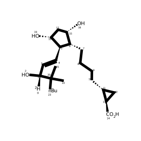 [2H][C@@](O)(C=C[C@@H]1[C@@H](CCCC[C@@H]2C[C@H]2C(=O)O)[C@@H](O)C[C@H]1O)C(C)(C)CCCC